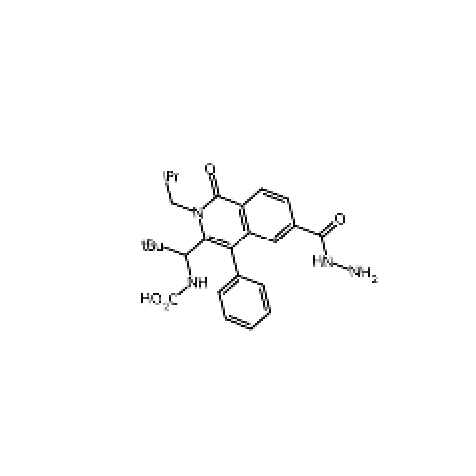 CC(C)Cn1c(C(NC(=O)O)C(C)(C)C)c(-c2ccccc2)c2cc(C(=O)NN)ccc2c1=O